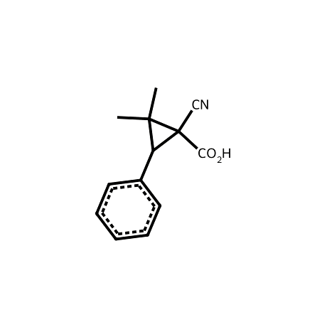 CC1(C)C(c2ccccc2)C1(C#N)C(=O)O